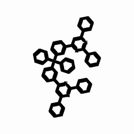 c1ccc(-c2cc(-c3cccc([Si](c4ccccc4)(c4ccccc4)c4cccc(-c5cc(-c6ccccc6)nc(-c6ccccc6)n5)c4)c3)nc(-c3ccccc3)n2)cc1